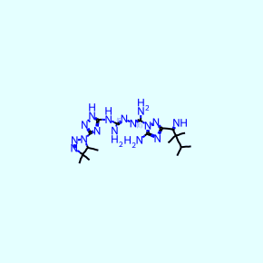 CC1N(c2n[nH]c(N/C(N)=N/N=C(\N)n3nc(C(=N)C(C)(C)C(C)C)nc3N)n2)N=NC1(C)C